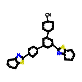 N#Cc1ccc(-c2cc(-c3ccc(-c4nc5ccccc5s4)cc3)cc(-c3nc4ccccc4s3)c2)cc1